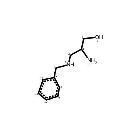 NC(CO)CNCc1ccccc1